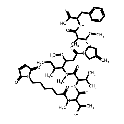 C=C1C[C@@H](C(OC)C(C)C(=O)NC(Cc2ccccc2)C(=O)O)N(C(=O)CC(OC)C(C(C)CC)N(C)C(=O)C(NC(=O)C(C(C)C)N(C)C(=O)CCCCCN2C(=O)C=CC2=O)C(C)C)C1